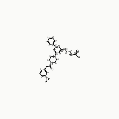 COc1cccc(CC(=O)N2CCN(c3cc(NCCNC(C)=O)nc(-c4ccccc4)n3)CC2)c1